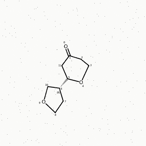 O=C1CCOC([C@@H]2CCOC2)C1